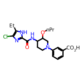 CCCOC1CN(c2cccc(C(=O)O)c2)CCC1NC(=O)c1nc(Cl)c(CC)[nH]1